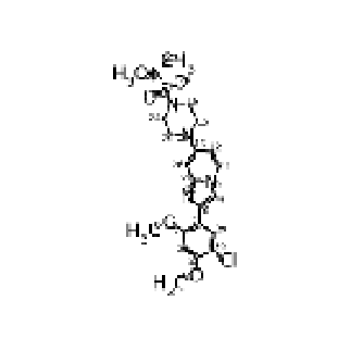 COc1cc(OC)c(-c2cn3ccc(N4CCN(S(=O)(=O)N(C)C)CC4)cc3n2)cc1Cl